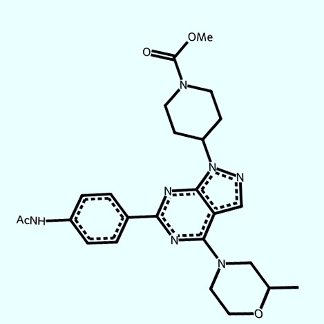 COC(=O)N1CCC(n2ncc3c(N4CCOC(C)C4)nc(-c4ccc(NC(C)=O)cc4)nc32)CC1